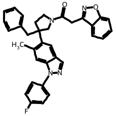 Cc1cc2c(cnn2-c2ccc(F)cc2)cc1C1(Cc2ccccc2)CCN(C(=O)Cc2noc3ccccc23)C1